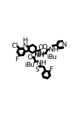 CCC(C)[C@H](NC(=S)Cc1ccccc1F)C(=O)N[C@]1(C(=O)NC(C(=O)NCc2ccncc2)[C@@H](C)CC)CCc2[nH]c3c(Cl)cc(F)cc3c2C1